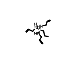 C=CCN[Si](CCC)(NCC=C)NCC=C